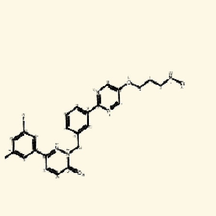 CCNCCCOc1cnc(-c2cccc(Cn3nc(-c4cc(F)cc(F)c4)ccc3=O)c2)nc1